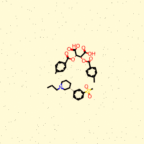 CCCN1CCC[C@H](c2cccc(S(C)(=O)=O)c2)C1.Cc1ccc(C(=O)O[C@H](C(=O)O)[C@H](OC(=O)c2ccc(C)cc2)C(=O)O)cc1